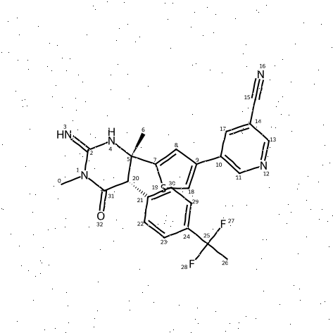 CN1C(=N)N[C@](C)(c2cc(-c3cncc(C#N)c3)cs2)[C@H](c2ccc(C(C)(F)F)cc2)C1=O